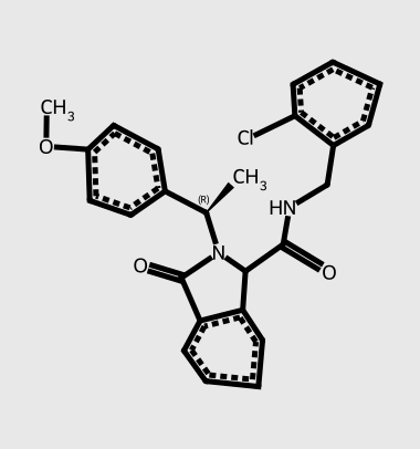 COc1ccc([C@@H](C)N2C(=O)c3ccccc3C2C(=O)NCc2ccccc2Cl)cc1